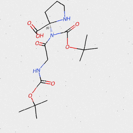 CC(C)(C)OC(=O)NCC(=O)N(C(=O)OC(C)(C)C)[C@]1(C(=O)O)CCCN1